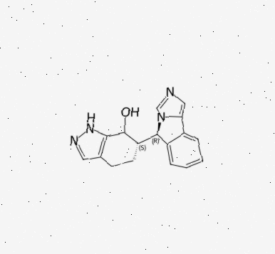 OC1c2[nH]ncc2CC[C@H]1[C@@H]1c2ccccc2-c2cncn21